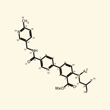 COC(=O)c1cc(-c2ccc(C(=O)NCc3ccc(C)nc3)cn2)ccc1N(CC(F)F)C(C)=O